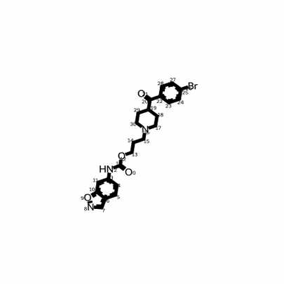 O=C(Nc1ccc2cnoc2c1)OCCCN1CCC(C(=O)c2ccc(Br)cc2)CC1